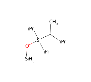 CC(C)C(C)[Si](O[SiH3])(C(C)C)C(C)C